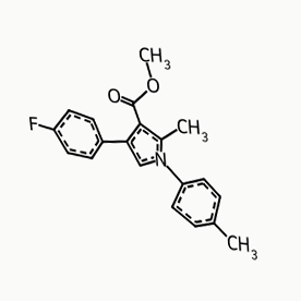 COC(=O)c1c(-c2ccc(F)cc2)cn(-c2ccc(C)cc2)c1C